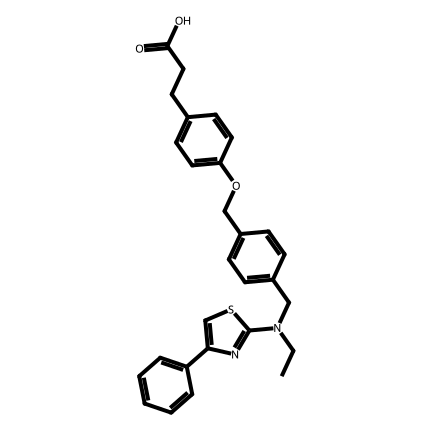 CCN(Cc1ccc(COc2ccc(CCC(=O)O)cc2)cc1)c1nc(-c2ccccc2)cs1